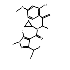 C=C(c1ccc(SC)cc1Cl)C(C)N(C(=O)c1c(C(F)F)nn(C)c1F)C1CC1